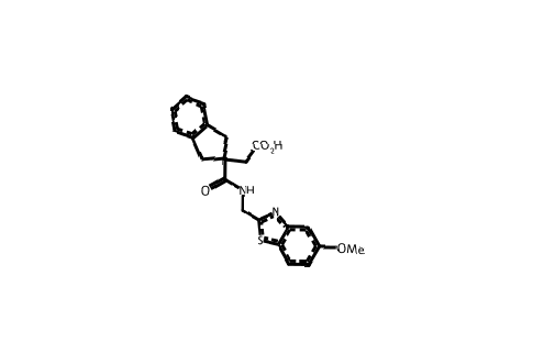 COc1ccc2sc(CNC(=O)C3(CC(=O)O)Cc4ccccc4C3)nc2c1